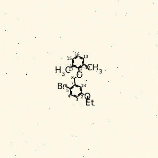 CCOc1ccc(Br)c(COc2c(C)cccc2C)c1